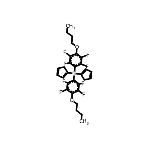 CCCCOc1c(F)c(F)[c]([Ti]([C]2=CC=CC2)([C]2=CC=CC2)[c]2c(F)c(F)c(OCCCC)c(F)c2F)c(F)c1F